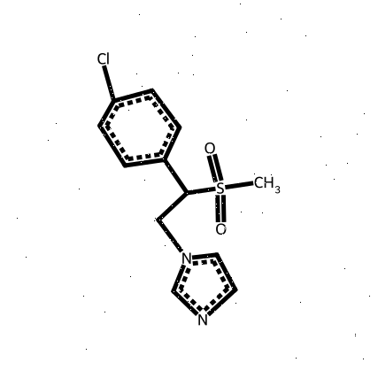 CS(=O)(=O)C(Cn1ccnc1)c1ccc(Cl)cc1